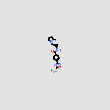 CC1CCCN1CC1CC1NC(=O)c1ccc(-c2noc(C(F)(F)F)n2)cc1